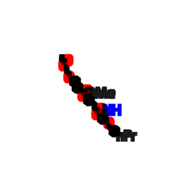 C=CC(=O)OCCCOc1ccc2cc(C(=O)Oc3ccc(/C=C/C(=O)Oc4ccc(OCc5ccc(CCC)cc5)cc4C=N)cc3OC)ccc2c1